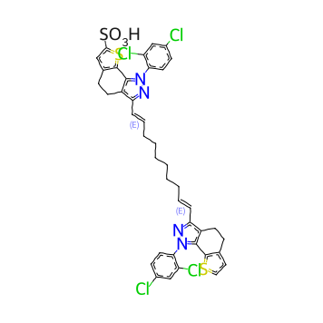 O=S(=O)(O)c1cc2c(s1)-c1c(c(/C=C/CCCCCC/C=C/c3nn(-c4ccc(Cl)cc4Cl)c4c3CCc3ccsc3-4)nn1-c1ccc(Cl)cc1Cl)CC2